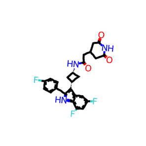 O=C1CC(CC(=O)N[C@H]2C[C@@H](c3c(-c4ccc(F)cc4)[nH]c4c(F)cc(F)cc43)C2)CC(=O)N1